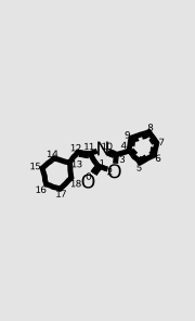 O=C1OC(c2ccccc2)=N/C1=C/C1CCCCC1